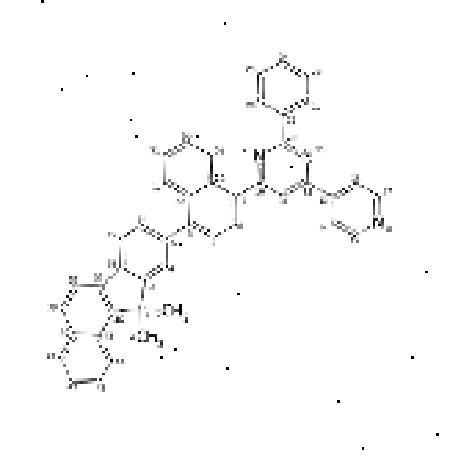 CC1(C)c2cc(-c3ccc(-c4cc(-c5ccncc5)nc(-c5ccccc5)n4)c4ccccc34)ccc2-c2ccc3ccccc3c21